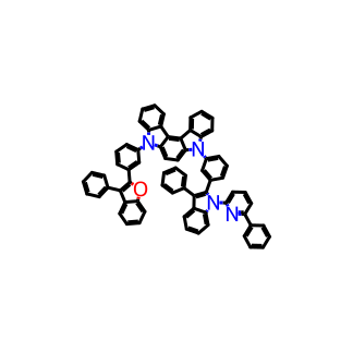 c1ccc(-c2cccc(-n3c(-c4cccc(-n5c6ccccc6c6c7c8ccccc8n(-c8cccc(-c9oc%10ccccc%10c9-c9ccccc9)c8)c7ccc65)c4)c(-c4ccccc4)c4ccccc43)n2)cc1